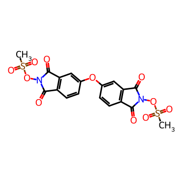 CS(=O)(=O)ON1C(=O)c2ccc(Oc3ccc4c(c3)C(=O)N(OS(C)(=O)=O)C4=O)cc2C1=O